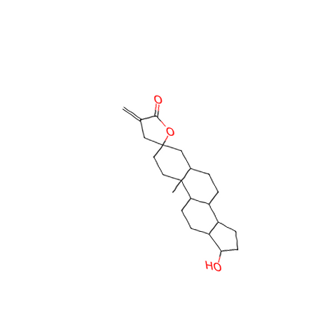 C=C1CC2(CCC3(C)C(CCC4C5CCC(O)C5CCC43)C2)OC1=O